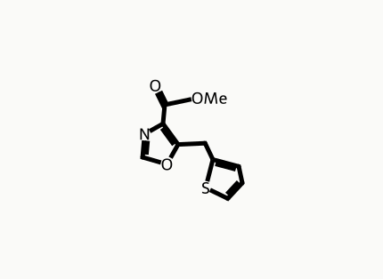 COC(=O)c1ncoc1Cc1cccs1